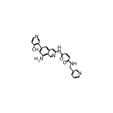 Cc1ccncc1-c1cc(N)c2cnc(NC(=O)/C=C\C(=O)NCc3cccnc3)cc2c1